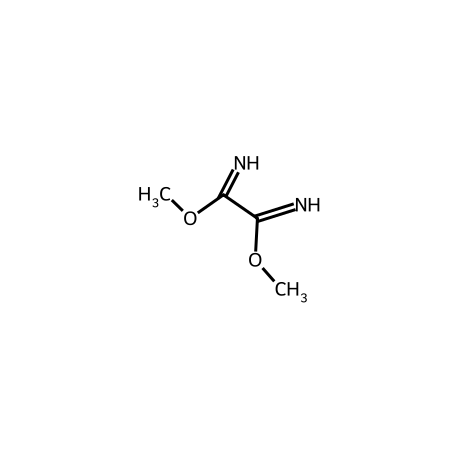 COC(=N)C(=N)OC